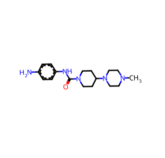 CN1CCN(C2CCN(C(=O)Nc3ccc(N)cc3)CC2)CC1